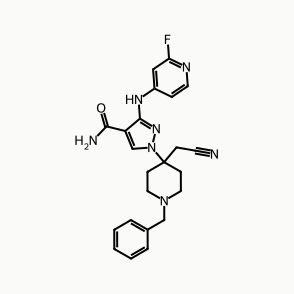 N#CCC1(n2cc(C(N)=O)c(Nc3ccnc(F)c3)n2)CCN(Cc2ccccc2)CC1